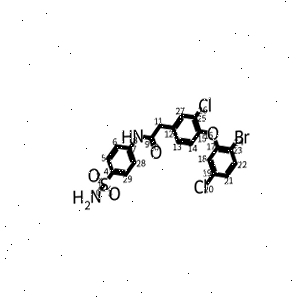 NS(=O)(=O)c1ccc(NC(=O)Cc2ccc(Oc3cc(Cl)ccc3Br)c(Cl)c2)cc1